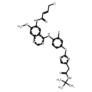 COc1cc2ncnc(Nc3ccc(Oc4nc(CC(=O)NC(C)(C)C)cs4)cc3F)c2cc1NC(=O)/C=C/CCl